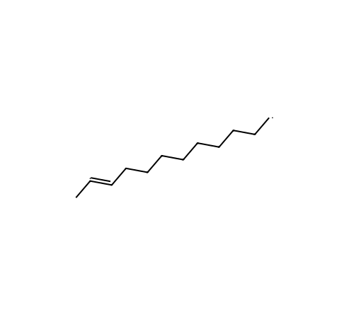 [CH2]CCCCCCCC/C=[C]/C